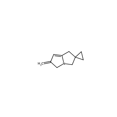 C=C1C=C2CC3(CC3)CN2C1